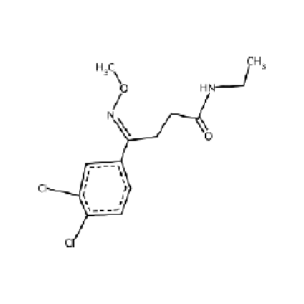 CCNC(=O)CCC(=NOC)c1ccc(Cl)c(Cl)c1